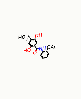 CC(=O)Oc1ccccc1NC(=O)c1cc(O)c(S(=O)(=O)O)cc1O